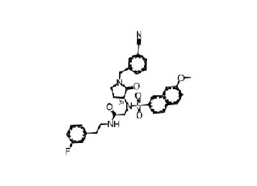 COc1ccc2ccc(S(=O)(=O)N(CC(=O)NCCc3cccc(F)c3)[C@H]3CCN(Cc4cccc(C#N)c4)C3=O)cc2c1